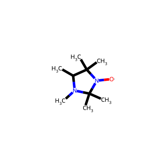 CC1N(C)C(C)(C)N([O])C1(C)C